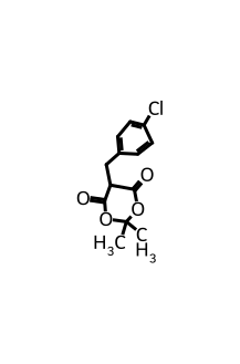 CC1(C)OC(=O)C(Cc2ccc(Cl)cc2)C(=O)O1